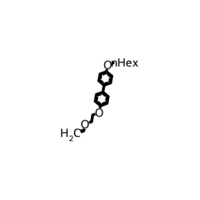 C=COCCOc1ccc(-c2ccc(OCCCCCC)cc2)cc1